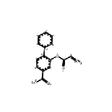 C=CC(=O)Oc1cc(C(=O)O)ccc1-c1ccccc1